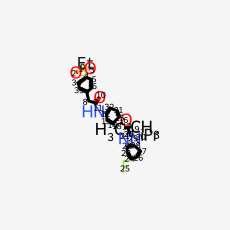 CCS(=O)(=O)c1ccc(CC(=O)Nc2ccc(OC(C)(C)c3nc4cc(F)ccc4n3C(C)C)cc2)cc1